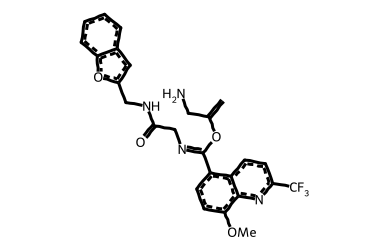 C=C(CN)O/C(=N\CC(=O)NCc1cc2ccccc2o1)c1ccc(OC)c2nc(C(F)(F)F)ccc12